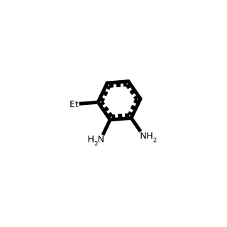 CCc1cccc(N)c1N